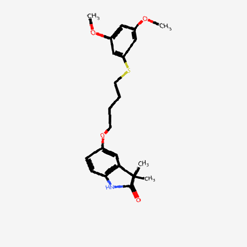 COc1cc(OC)cc(SCCCCOc2ccc3c(c2)C(C)(C)C(=O)N3)c1